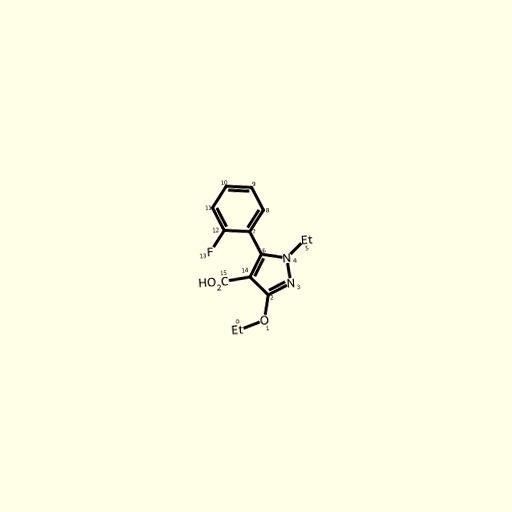 CCOc1nn(CC)c(-c2ccccc2F)c1C(=O)O